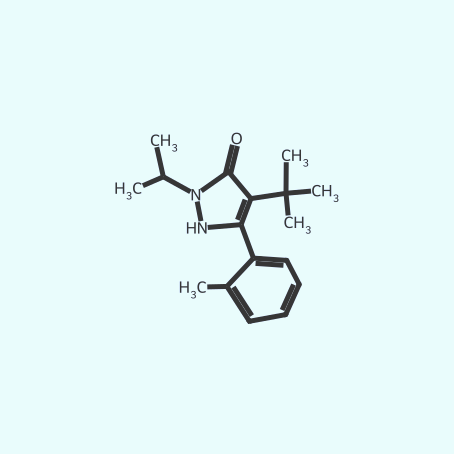 Cc1ccccc1-c1[nH]n(C(C)C)c(=O)c1C(C)(C)C